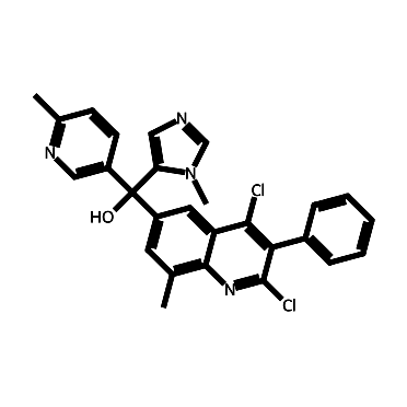 Cc1ccc(C(O)(c2cc(C)c3nc(Cl)c(-c4ccccc4)c(Cl)c3c2)c2cncn2C)cn1